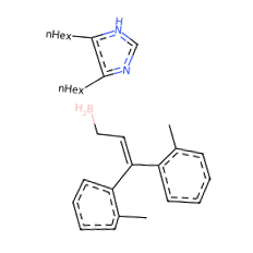 BCC=C(c1ccccc1C)c1ccccc1C.CCCCCCc1nc[nH]c1CCCCCC